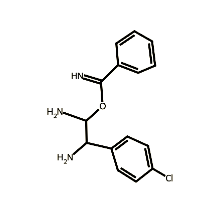 N=C(OC(N)C(N)c1ccc(Cl)cc1)c1ccccc1